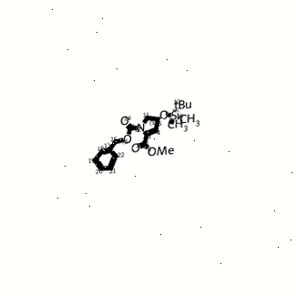 COC(=O)C1=C[C@H](O[Si](C)(C)C(C)(C)C)CN1C(=O)OCc1ccccc1